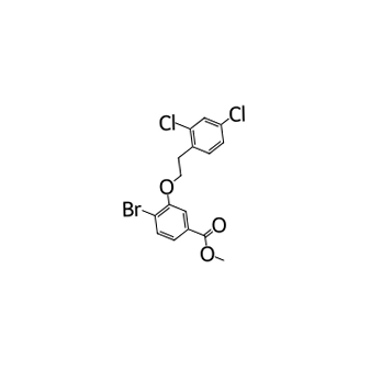 COC(=O)c1ccc(Br)c(OCCc2ccc(Cl)cc2Cl)c1